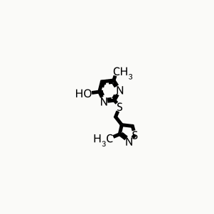 CC1=NSCC1CSc1nc(C)cc(O)n1